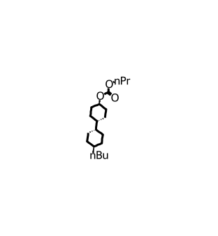 CCCC[C@H]1CC[C@H]([C@H]2CC[C@H](OC(=O)OCCC)CC2)CC1